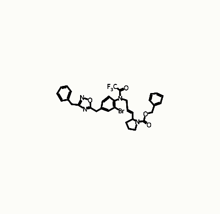 O=C(OCc1ccccc1)N1CCCC1C=CCN(C(=O)C(F)(F)F)c1ccc(Cc2nc(Cc3ccccc3)no2)cc1Br